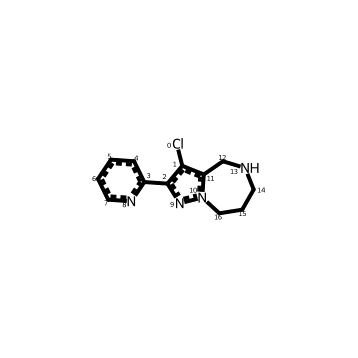 Clc1c(-c2ccccn2)nn2c1CNCCC2